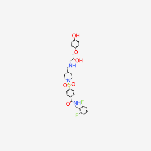 O=C(NCc1c(F)cccc1F)c1ccc(S(=O)(=O)N2CCC(CNC[C@H](O)COc3ccc(O)cc3)CC2)cc1